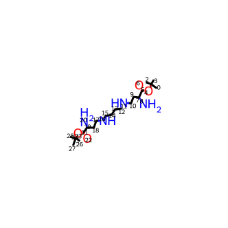 CC(C)(C)OC(=O)C(N)CCNCCCCNCCC(N)C(=O)OC(C)(C)C